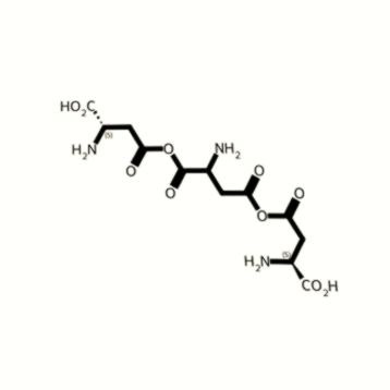 NC(CC(=O)OC(=O)C[C@H](N)C(=O)O)C(=O)OC(=O)C[C@H](N)C(=O)O